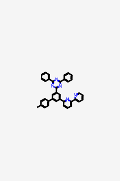 Cc1ccc(-c2cc(-c3cccc(-c4ccccn4)n3)cc(-c3nc(-c4ccccc4)nc(-c4ccccc4)n3)c2)cc1